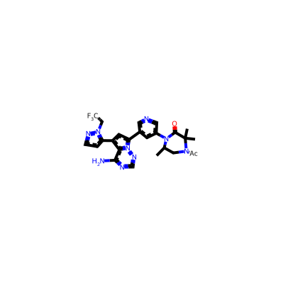 CC(=O)N1CC(C)N(c2cncc(-c3cc(-c4ccnn4CC(F)(F)F)c4c(N)ncnn34)c2)C(=O)C1(C)C